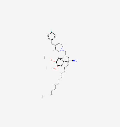 CCCCCCCCCCCCC(C#N)(CCCN1CCC(Cc2ccc(F)cc2)CC1)c1ccc(OC)c(OC)c1